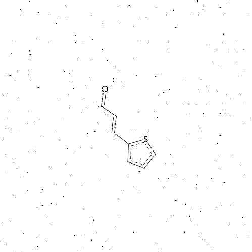 O=[C]/C=C/c1cccs1